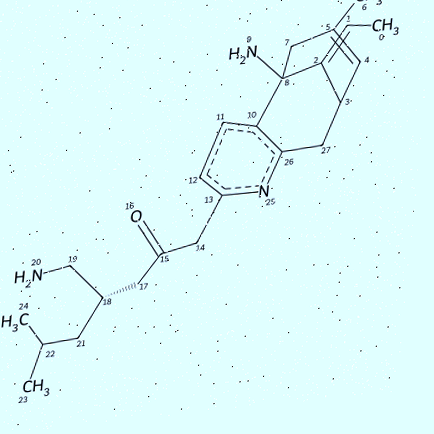 C/C=C1\C2C=C(C)CC1(N)c1ccc(CC(=O)C[C@@H](CN)CC(C)C)nc1C2